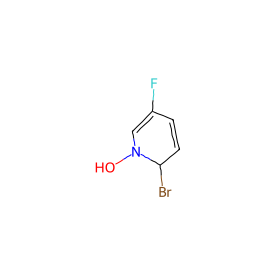 ON1C=C(F)C=CC1Br